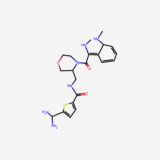 CN/C(C(=O)N1CCOCC1CNC(=O)c1ccc(C(N)N)s1)=C1/C=CC=CC1NC